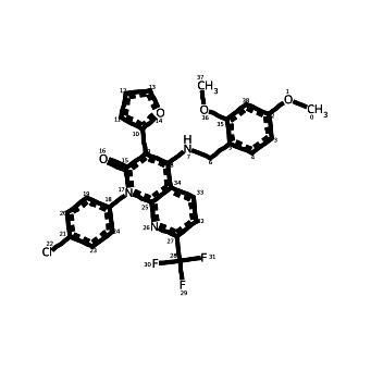 COc1ccc(CNc2c(-c3ccco3)c(=O)n(-c3ccc(Cl)cc3)c3nc(C(F)(F)F)ccc23)c(OC)c1